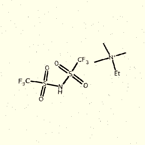 CC[N+](C)(C)C.O=S(=O)(NS(=O)(=O)C(F)(F)F)C(F)(F)F